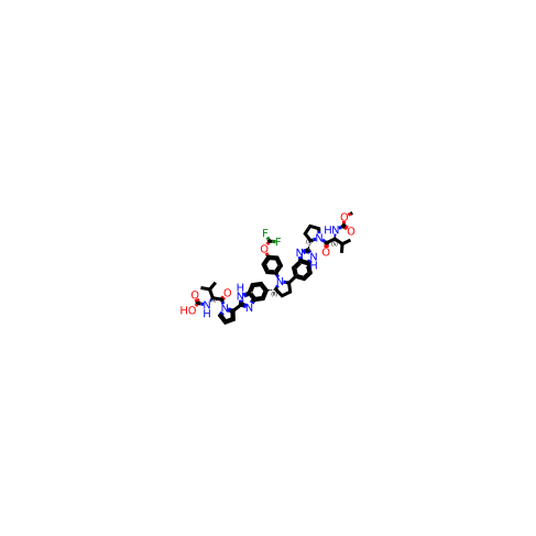 COC(=O)N[C@H](C(=O)N1CCC[C@H]1c1nc2cc(C3CC[C@H](c4ccc5[nH]c(-c6cccn6C(=O)[C@@H](NC(=O)O)C(C)C)nc5c4)N3c3ccc(OC(F)F)cc3)ccc2[nH]1)C(C)C